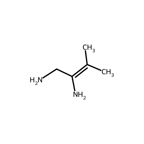 CC(C)=C(N)CN